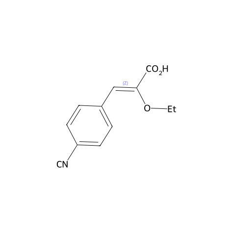 [C-]#[N+]c1ccc(/C=C(\OCC)C(=O)O)cc1